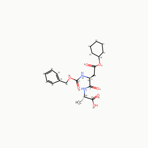 C[C@H](NC(=O)[C@H](CC(=O)OC1CCCCC1)NC(=O)OCc1ccccc1)C(=O)O